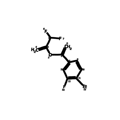 C=C(OC(=C)C(F)F)c1ccc(CC)c(F)c1